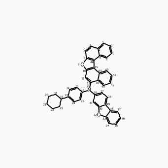 c1ccc2c(c1)ccc1oc3cc(N(c4ccc(C5CCCCC5)cc4)c4ccc5c(c4)oc4ccccc45)c4ccccc4c3c12